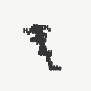 COCCOCCOCCC(=O)NCCCN(CCCNC(=O)CC[C@@H](NC(=O)c1ccc(N(C)Cc2cnc3nc(N)nc(N)c3n2)cc1)C(=O)OC(C)(C)C)C(=O)CCC(=O)O